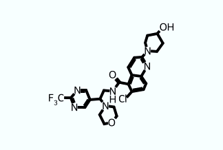 O=C(NCC(c1cnc(C(F)(F)F)nc1)N1CCOCC1)c1c(Cl)ccc2nc(N3CCC(O)CC3)ccc12